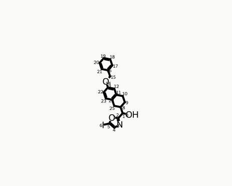 OC(c1ncc(I)o1)C1CCc2cc(OCc3ccccc3)ccc2C1